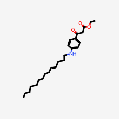 CCCCCCCCC/C=C/CCCNc1ccc(C(=O)CC(=O)OCC)cc1